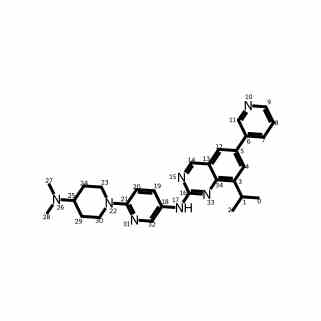 CC(C)c1cc(-c2cccnc2)cc2cnc(Nc3ccc(N4CCC(N(C)C)CC4)nc3)nc12